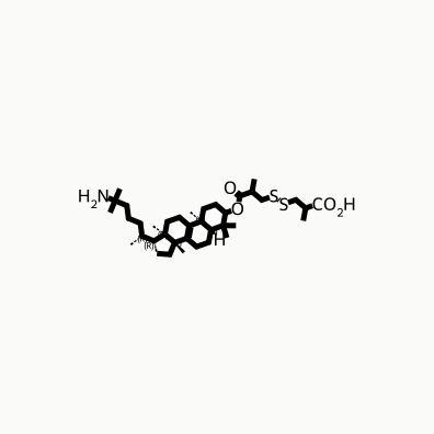 CC(CSSCC(C)C(=O)OC1CC[C@]2(C)C3=C(CC[C@H]2C1(C)C)[C@]1(C)CC[C@H]([C@H](C)CCCC(C)(C)N)[C@@]1(C)CC3)C(=O)O